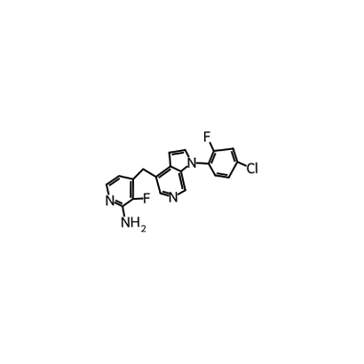 Nc1nccc(Cc2cncc3c2ccn3-c2ccc(Cl)cc2F)c1F